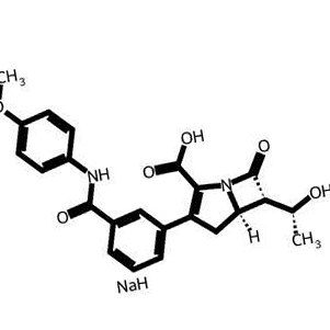 COc1ccc(NC(=O)c2cccc(C3=C(C(=O)O)N4C(=O)[C@H]([C@@H](C)O)[C@H]4C3)c2)cc1.[NaH]